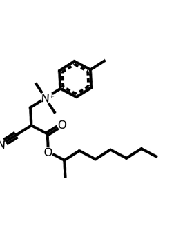 CCCCCCC(C)OC(=O)C(C#N)C[N+](C)(C)c1ccc(C)cc1